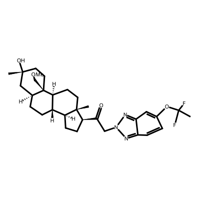 COC[C@]12CC[C@@](C)(O)C[C@@H]1CC[C@H]1[C@@H]3CC[C@H](C(=O)Cn4nc5ccc(OC(C)(F)F)cc5n4)[C@@]3(C)CC[C@@H]12